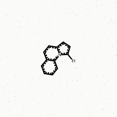 CCc1ccc2ccc3ccccc3n12